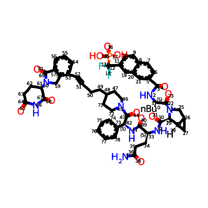 CCCC[C@H](NC(=O)c1ccc2ccc(C(F)(F)P(=O)(O)O)cc2c1)C(=O)N1CC2C[C@H]2[C@H]1C(=O)N[C@@H](CCC(N)=O)C(=O)N[C@H](C(=O)N1CCC(CCC#Cc2cccc3c2CN(C2CCC(=O)NC2=O)C3=O)CC1)c1ccccc1